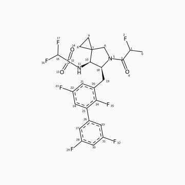 CC(F)C(=O)N1CC2(CC2)[C@H](NS(=O)(=O)C(F)F)[C@@H]1Cc1cc(F)cc(-c2cc(F)cc(F)c2)c1F